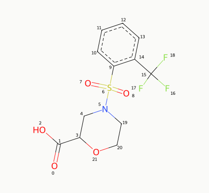 O=C(O)C1CN(S(=O)(=O)c2ccccc2C(F)(F)F)CCO1